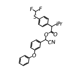 CC(C)C(C(=O)OC(C#N)c1cccc(Oc2ccccc2)c1)c1ccc(SC(F)F)cc1